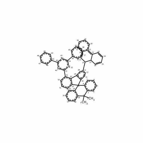 CC1(C)c2ccccc2C2(c3ccc(C4C=c5ccccc5=C5C=CC=CC54)cc3-c3c(-c4nc(-c5ccccc5)nc(-c5ccccc5)n4)cccc32)c2ccccc21